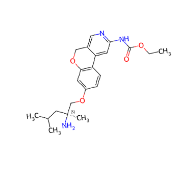 CCOC(=O)Nc1cc2c(cn1)COc1cc(OC[C@@](C)(N)CC(C)C)ccc1-2